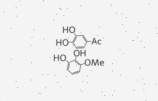 CC(=O)c1ccc(O)c(O)c1.COc1cccc(O)c1O